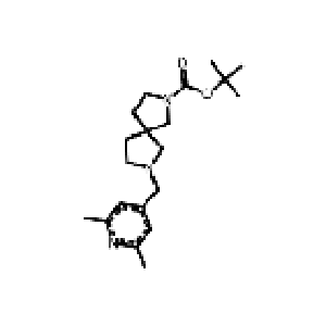 Cc1cc(CN2CCC3(CCN(C(=O)OC(C)(C)C)C3)C2)cc(C)n1